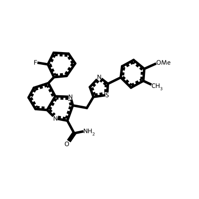 COc1ccc(-c2ncc(Cc3nc4c(-c5ccccc5F)cccc4nc3C(N)=O)s2)cc1C